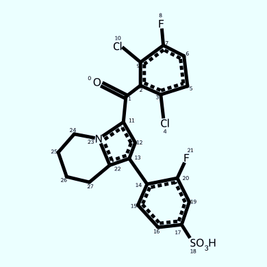 O=C(c1c(Cl)ccc(F)c1Cl)c1cc(-c2ccc(S(=O)(=O)O)cc2F)c2n1CCCC2